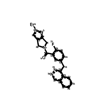 CCn1cc2c(n1)CN(C(=O)c1cc(Cc3nncc4ccccc34)ccc1F)C2